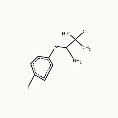 CC(C)(Cl)C(N)Sc1ccc(I)cc1